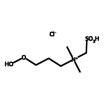 C[N+](C)(CCCOO)CS(=O)(=O)O.[Cl-]